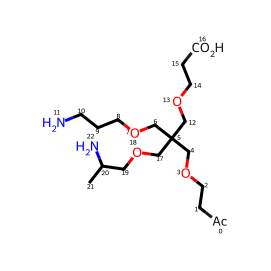 CC(=O)CCOCC(COCCCN)(COCCC(=O)O)COCC(C)N